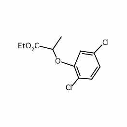 CCOC(=O)C(C)Oc1cc(Cl)ccc1Cl